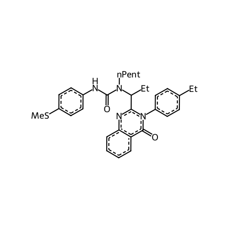 CCCCCN(C(=O)Nc1ccc(SC)cc1)C(CC)c1nc2ccccc2c(=O)n1-c1ccc(CC)cc1